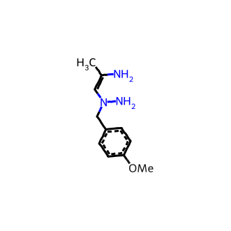 COc1ccc(CN(N)/C=C(/C)N)cc1